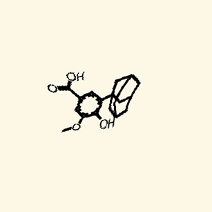 COc1cc(C(=O)O)cc(C23CC4CC(CC(C4)C2)C3)c1O